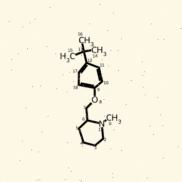 CN1CCCCC1COc1ccc(C(C)(C)C)cc1